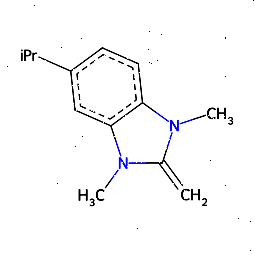 C=C1N(C)c2ccc(C(C)C)cc2N1C